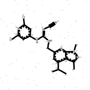 Cc1nn(C)c2nc(CN/C(=N\C#N)Nc3cc(Cl)nc(Cl)c3)cc(C(C)C)c12